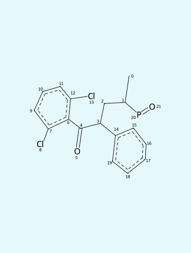 CC(CC(C(=O)c1c(Cl)cccc1Cl)c1ccccc1)P=O